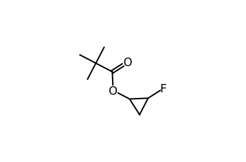 CC(C)(C)C(=O)OC1CC1F